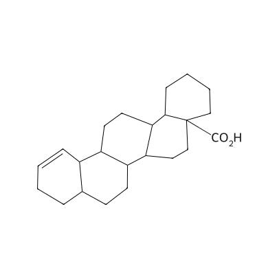 O=C(O)C12CCCCC1C1CCC3C4C=CCCC4CCC3C1CC2